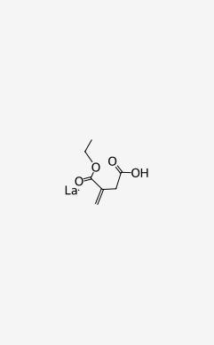 C=C(CC(=O)O)C(=O)OCC.[La]